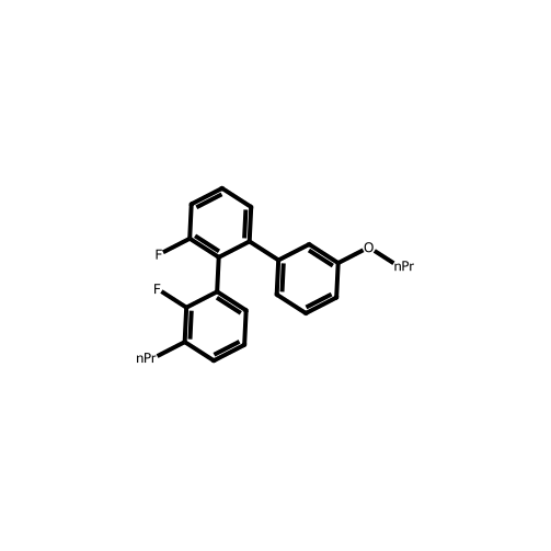 CCCOc1cccc(-c2cccc(F)c2-c2cccc(CCC)c2F)c1